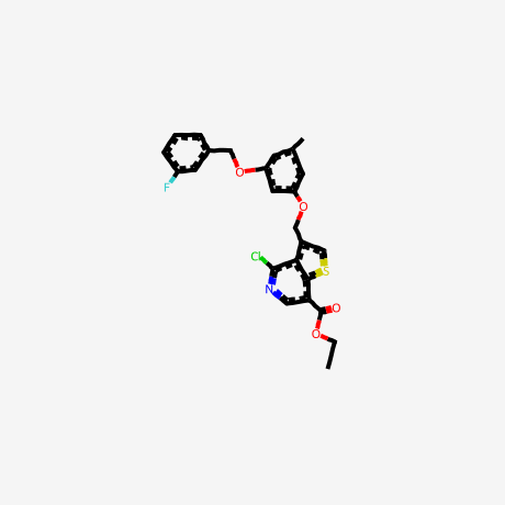 CCOC(=O)c1cnc(Cl)c2c(COc3cc(C)cc(OCc4cccc(F)c4)c3)csc12